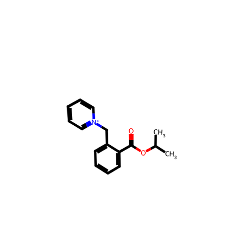 CC(C)OC(=O)c1ccccc1C[n+]1ccccc1